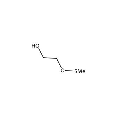 CSOCCO